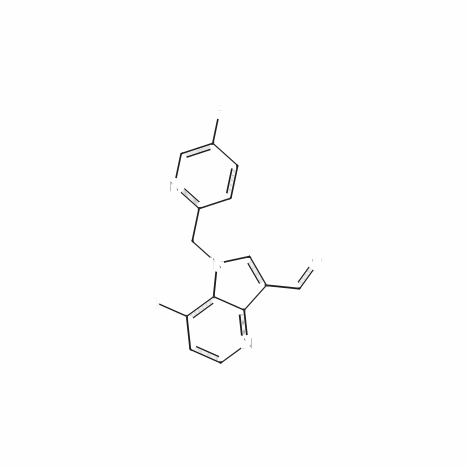 O=Cc1cn(Cc2ccc(F)cn2)c2c(Cl)ccnc12